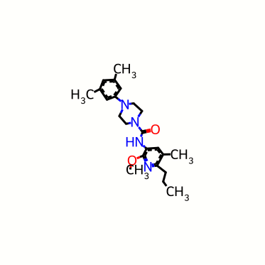 CCCc1nc(OC)c(NC(=O)N2CCN(c3cc(C)cc(C)c3)CC2)cc1C